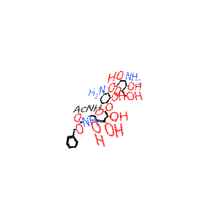 CC(=O)NC1C[C@@H](N)C(O[C@H]2OC(CO)[C@@H](O)C(N)[C@H]2O)[C@@H](O)[C@@H]1O[C@H]1OC(CNC(=O)OCc2ccccc2)[C@@H](O)[C@H](O)C1O